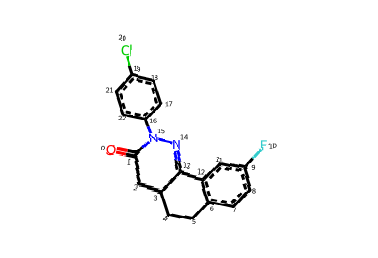 O=C1CC2CCc3ccc(F)cc3C2=NN1c1ccc(Cl)cc1